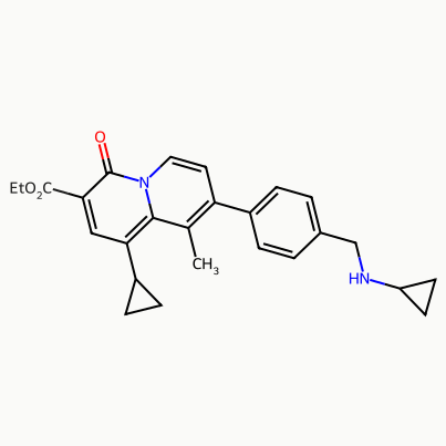 CCOC(=O)c1cc(C2CC2)c2c(C)c(-c3ccc(CNC4CC4)cc3)ccn2c1=O